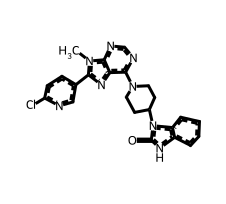 Cn1c(-c2ccc(Cl)nc2)nc2c(N3CCC(n4c(=O)[nH]c5ccccc54)CC3)ncnc21